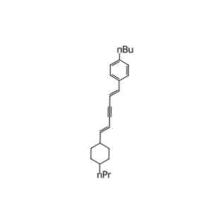 CCCCc1ccc(C=CC#CC=CC2CCC(CCC)CC2)cc1